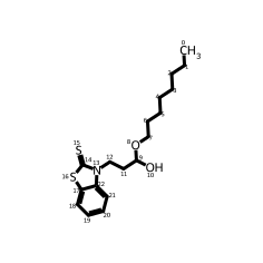 CCCCCCCCOC(O)CCn1c(=S)sc2ccccc21